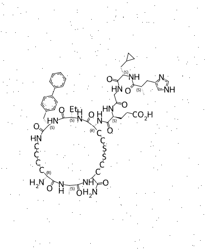 CC[C@@H]1NC(=O)[C@H](NC(=O)[C@H](CCC(=O)O)NC(=O)CNC(=O)[C@H](CC2CC2)NC(=O)[C@@H](C)Cc2c[nH]cn2)CCSSCCC(C(N)=O)NC(=O)[C@H](C)NC(=O)[C@H](N)CCCCNC(=O)[C@H](Cc2ccc(-c3ccccc3)cc2)NC1=O